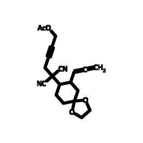 C=C=CC1CC2(CCC1C(C#N)(C#N)CC#CCOC(C)=O)OCCO2